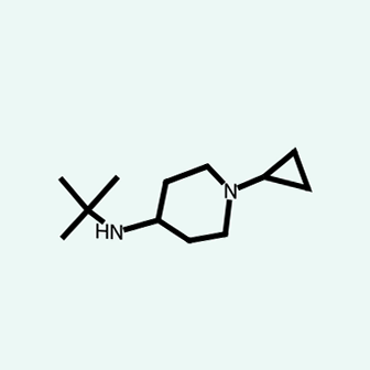 CC(C)(C)NC1CCN(C2CC2)CC1